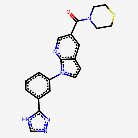 O=C(c1cnc2c(ccn2-c2cccc(-c3nnc[nH]3)c2)c1)N1CCSCC1